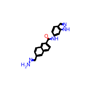 NN=Cc1ccc2cc(C(=O)Nc3ccc4cn[nH]c4c3)ccc2c1